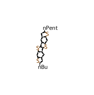 CCCCCc1cc2cc3c(cc2s1)sc1c2cc4cc(CCCC)sc4cc2sc31